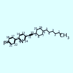 CCCCCCC1CCC(C#Cc2ccc(-c3ccc(F)cc3)nc2)CC1